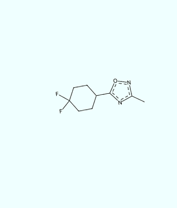 Cc1noc(C2CCC(F)(F)CC2)n1